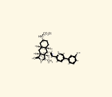 CCOC(=O)N[C@@H]1CC[C@H]2[C@@H](C1)C[C@H]1C(=O)O[C@@H](C)[C@H]1[C@H]2/C=C/c1ccc(-c2cccc(F)c2)cn1